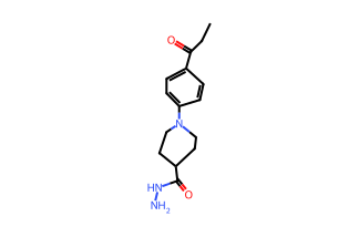 CCC(=O)c1ccc(N2CCC(C(=O)NN)CC2)cc1